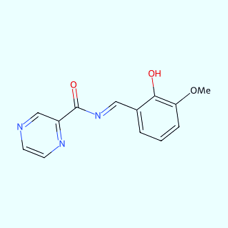 COc1cccc(/C=N/C(=O)c2cnccn2)c1O